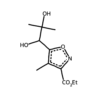 CCOC(=O)c1noc(C(O)C(C)(C)O)c1C